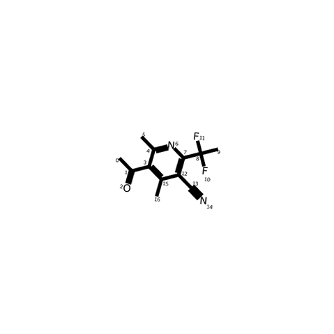 CC(=O)c1c(C)nc(C(C)(F)F)c(C#N)c1C